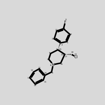 Fc1ccc([C@H]2CCN(Cc3ccccc3)C[C@H]2CCl)cc1